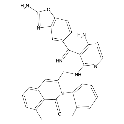 Cc1ccccc1-n1c(CNc2ncnc(N)c2C(=N)c2ccc3oc(N)nc3c2)cc2cccc(C)c2c1=O